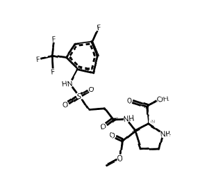 COC(=O)C1(NC(=O)CCS(=O)(=O)Nc2ccc(F)cc2C(F)(F)F)CCN[C@@H]1C(=O)O